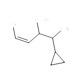 CC/C=C\C(C(=O)O)C(C)C1CC1